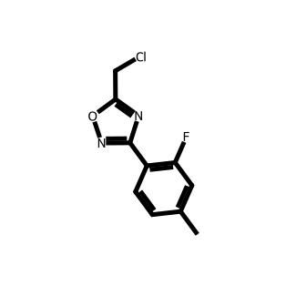 Cc1ccc(-c2noc(CCl)n2)c(F)c1